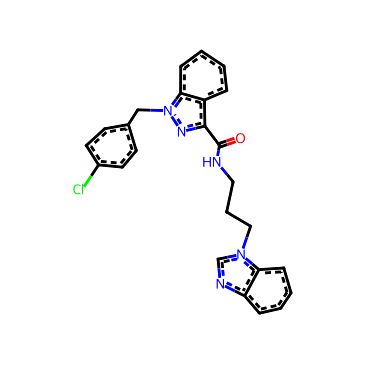 O=C(NCCCn1cnc2ccccc21)c1nn(Cc2ccc(Cl)cc2)c2ccccc12